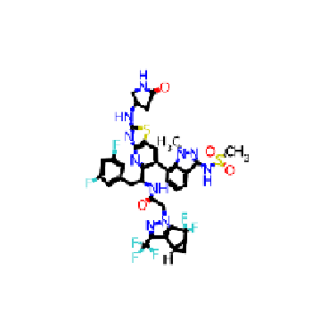 Cn1nc(NS(C)(=O)=O)c2cccc(-c3cc4sc(NC5CNC(=O)C5)nc4nc3C(Cc3cc(F)cc(F)c3)NC(=O)Cn3nc(C(F)(F)F)c4c3C(F)(F)C3C[C@H]43)c21